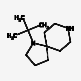 CC(C)(C)N1CCCC12CCNCC2